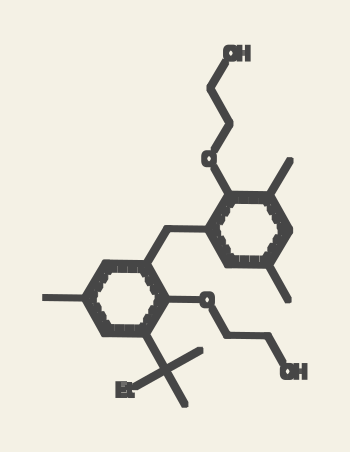 CCC(C)(C)c1cc(C)cc(Cc2cc(C)cc(C)c2OCCO)c1OCCO